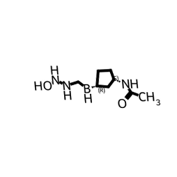 CC(=O)N[C@H]1CC[C@@H](BCNNO)C1